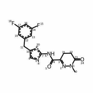 CN1N=C(C(=O)Nc2ncc(Cc3cc(F)cc(F)c3)s2)CCC1=O